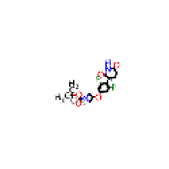 CC(C)(C)OC(=O)N1CC(Oc2cc(F)c([C@H]3CCC(=O)NC3=O)c(F)c2)C1